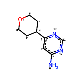 Nc1cc(C2CCOCC2)ncn1